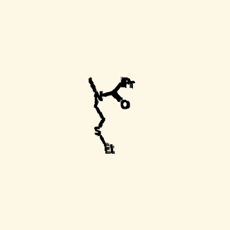 CCSCCN(C)C(=O)C(C)C